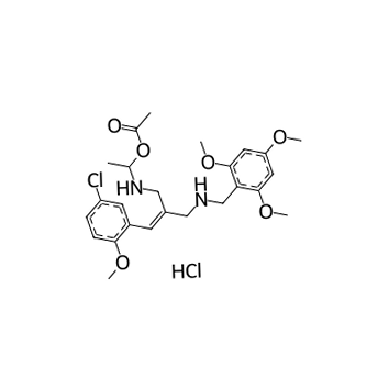 COc1cc(OC)c(CNCC(=Cc2cc(Cl)ccc2OC)CNC(C)OC(C)=O)c(OC)c1.Cl